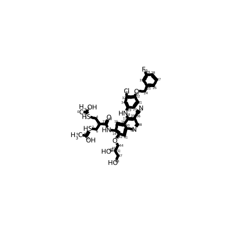 CC(O)=[SH]CC(C[SH]=C(C)O)C(=O)Nc1cc2c(Nc3ccc(OCc4cccc(F)c4)c(Cl)c3)c(C#N)cnc2cc1OC[C@@H](O)CO